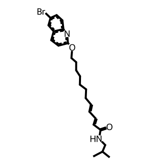 CC(C)CNC(=O)C=CC=CCCCCCCCOc1ccc2cc(Br)ccc2n1